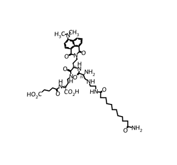 CN(C)c1ccc2c3c(cccc13)C(=O)N(CC[C@@H](NC(=O)[C@@H](N)CNCCNC(=O)CCCCCCCCCCC(N)=O)C(=O)NCC[C@@H](NC(=O)CCCC(=O)O)C(=O)O)C2=O